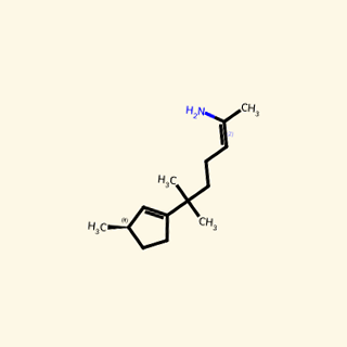 C/C(N)=C/CCC(C)(C)C1=C[C@H](C)CC1